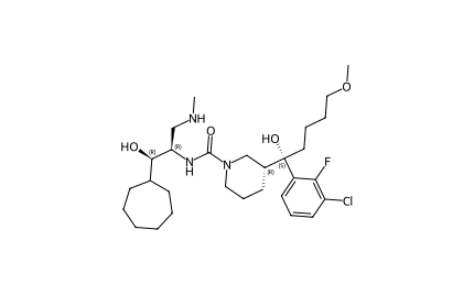 CNC[C@@H](NC(=O)N1CCC[C@@H]([C@@](O)(CCCCOC)c2cccc(Cl)c2F)C1)[C@H](O)C1CCCCCC1